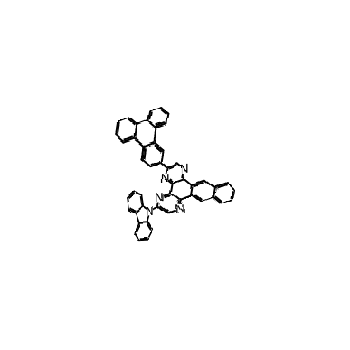 c1ccc2cc3c(cc2c1)c1ncc(-c2ccc4c5ccccc5c5ccccc5c4c2)nc1c1nc(-n2c4ccccc4c4ccccc42)cnc31